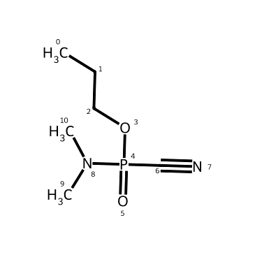 CCCOP(=O)(C#N)N(C)C